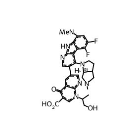 CNc1cc(F)c(F)c2c1[nH]c1ncc(-c3cnc4c(c3)c(=O)c(C(=O)O)cn4C(C)CO)c(N3CCC4CN(C)C[C@H]43)c12